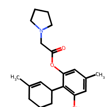 CC1=CC(c2c(O)cc(C)cc2OC(=O)CN2CCCC2)CCC1